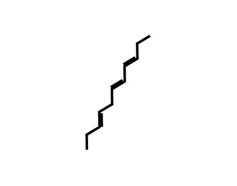 CC/C=C/C=C/C/C=C/CC